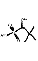 CC(C)(C)C(O)S(=O)(=O)O